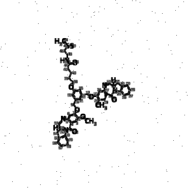 COc1cc2c(cc1OCc1cc(COc3cc4c(cc3C)C(=O)N3c5ccccc5C[C@H]3C=N4)cc(OCCCCC(=O)NCCS(C)=S)c1)N=C[C@@H]1Cc3ccccc3N1C2=O